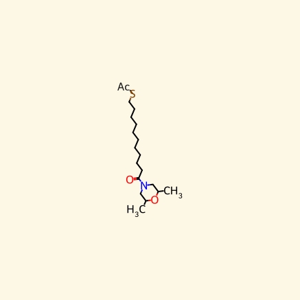 CC(=O)SCCCCCCCCCCC(=O)N1CC(C)OC(C)C1